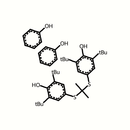 CC(C)(Sc1cc(C(C)(C)C)c(O)c(C(C)(C)C)c1)Sc1cc(C(C)(C)C)c(O)c(C(C)(C)C)c1.Oc1ccccc1.Oc1ccccc1